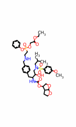 CCOC(=O)COP(=O)(CCNCc1ccc(CC(NC(=O)OC2COC3OCCC23)C(O)CN(CC(C)C)S(=O)(=O)c2ccc(OC)cc2)cc1)Oc1ccccc1